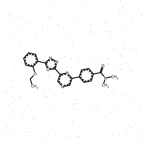 CCOc1ccccc1-c1nnc(-c2cncc(-c3ccc(C(=O)N(C)C)cc3)n2)o1